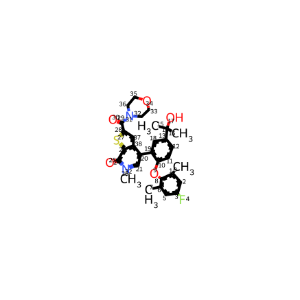 Cc1cc(F)cc(C)c1Oc1ccc(C(C)(C)O)cc1-c1cn(C)c(=O)c2sc(C(=O)N3CCOCC3)cc12